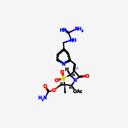 CC(=O)O[C@@H]1N2C(=O)/C(=C/c3cc(CNC(=N)N)ccn3)[C@H]2S(=O)(=O)[C@@]1(C)COC(N)=O